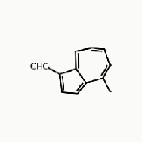 Cc1ccccc2c(C=O)ccc1-2